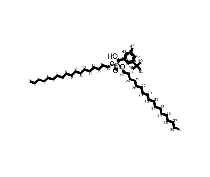 CCCCCCCCCCCCCCCCCCOP(=O)(OCCCCCCCCCCCCCCCCCC)C(O)c1cc(C)cc(C(C)(C)C)c1